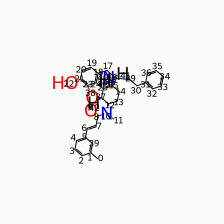 Cc1cccc(C=CC(=O)N(C)[C@@H]2CC[C@H]3[C@H]4Cc5ccc(O)c6c5[C@@]3(CCN4CCc3ccccc3)[C@H]2O6)c1